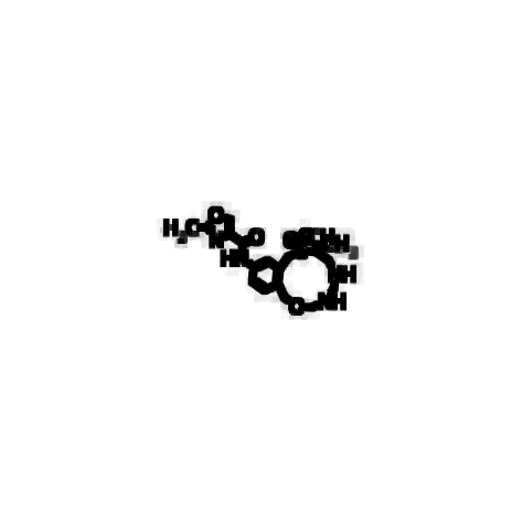 Cc1nc(C(=O)Nc2ccc3c(c2)CS(=O)(=O)C(C)(C)CNCNCOC3)co1